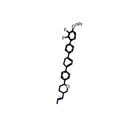 C/C=C/C1CCC(c2ccc(C3=CC=C(c4ccc(-c5ccc(OCCC)c(F)c5F)cc4)CC3)cc2)OC1